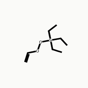 C=COO[Si](CC)(CC)CC